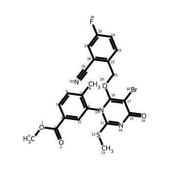 COC(=O)c1ccc(C)c(-n2c(SC)nc(=O)c(Br)c2OCc2ccc(F)cc2C#N)c1